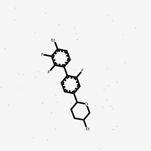 CCc1ccc(-c2ccc(C3CCC(CC)CO3)cc2F)c(F)c1F